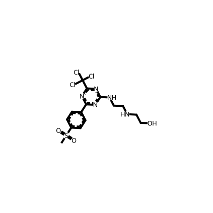 CS(=O)(=O)c1ccc(-c2nc(NCCNCCO)nc(C(Cl)(Cl)Cl)n2)cc1